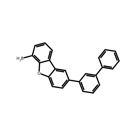 Bc1cccc2c1oc1ccc(-c3cccc(-c4ccccc4)c3)cc12